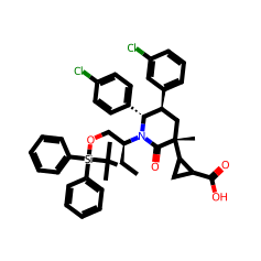 CC[C@@H](CO[Si](c1ccccc1)(c1ccccc1)C(C)(C)C)N1C(=O)[C@@](C)(C2CC2C(=O)O)C[C@H](c2cccc(Cl)c2)[C@H]1c1ccc(Cl)cc1